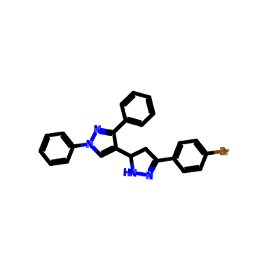 Brc1ccc(C2=NNC(c3cn(-c4ccccc4)nc3-c3ccccc3)C2)cc1